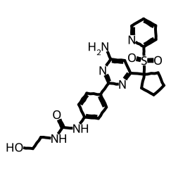 Nc1cc(C2(S(=O)(=O)c3ccccn3)CCCC2)nc(-c2ccc(NC(=O)NCCO)cc2)n1